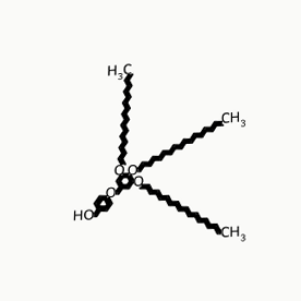 CCCCCCCCCCCCCCCCCCOC1CC(COc2ccc(CO)cc2)CC(OCCCCCCCCCCCCCCCCCC)C1OCCCCCCCCCCCCCCCCCC